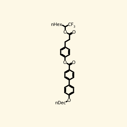 CCCCCCCCCCOc1ccc(-c2ccc(C(=O)Oc3ccc(CCC(=O)OC(CCCCCC)C(F)(F)F)cc3)cc2)cc1